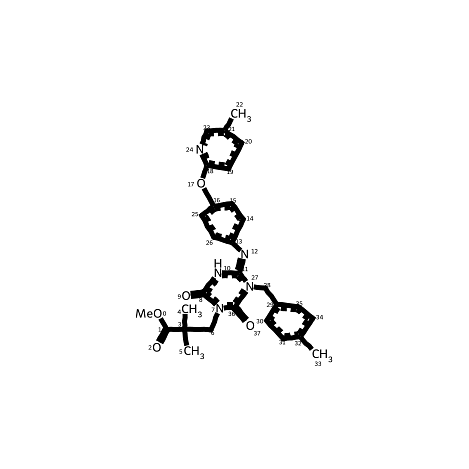 COC(=O)C(C)(C)Cn1c(=O)[nH]/c(=N\c2ccc(Oc3ccc(C)cn3)cc2)n(Cc2ccc(C)cc2)c1=O